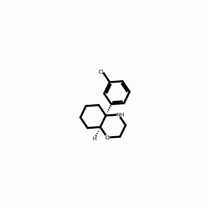 Clc1cccc([C@@]23CCCC[C@@H]2OCCN3)c1